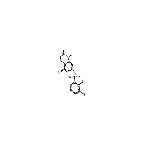 [2H]C([2H])(Oc1cc2n(c(=O)n1)CC[C@@H](C)N2C)c1cccc(F)c1F